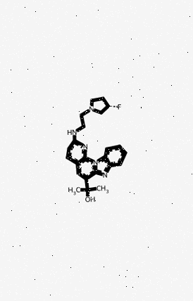 CC(C)(O)c1cc2ccc(NCCN3CC[C@H](F)C3)nc2n2c1nc1ccccc12